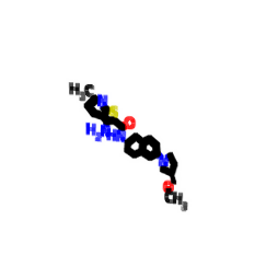 COC[C@@H]1CCN(c2ccc3c(c2)CC[C@H](NC(=O)c2sc4nc(C)ccc4c2N)C3)C1